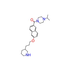 CC(C)N1CCN(C(=O)c2ccc3cc(OCCCC4CCCNC4)ccc3c2)CC1